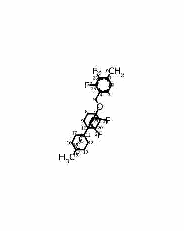 Cc1ccc(COC23CCC(C45CCC(C)(CC4)CC5)(CC2)C(F)=C3F)c(F)c1F